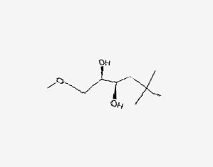 COC[C@@H](O)[C@H](O)CC(C)(C)C